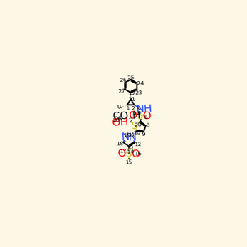 C[C@H]1[C@H](NS(=O)(=O)c2ccc(-n3cc(S(C)(=O)=O)cn3)s2)[C@H]1c1ccccc1.O=C(O)O